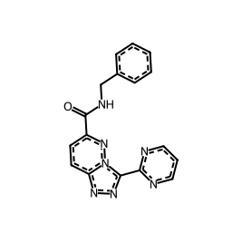 O=C(NCc1ccccc1)c1ccc2nnc(-c3ncccn3)n2n1